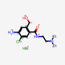 Br.CCN(CC)CCNC(=O)c1cc(Cl)c(N)cc1CO